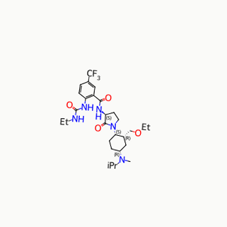 CCNC(=O)Nc1ccc(C(F)(F)F)cc1C(=O)N[C@H]1CCN([C@H]2CC[C@@H](N(C)C(C)C)C[C@H]2COCC)C1=O